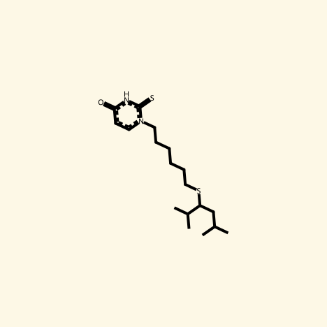 CC(C)CC(SCCCCCCn1ccc(=O)[nH]c1=S)C(C)C